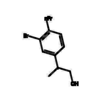 CCCc1ccc([C](C)CO)cc1Br